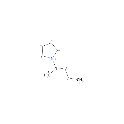 CCCC(C)N1CCCC1